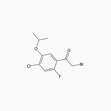 CC(C)Oc1cc(C(=O)CBr)c(F)cc1Cl